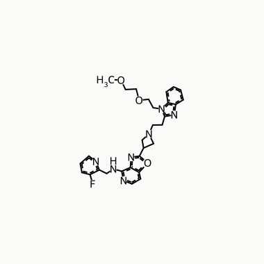 COCCOCCn1c(CCN2CC(c3nc4c(NCc5ncccc5F)nccc4o3)C2)nc2ccccc21